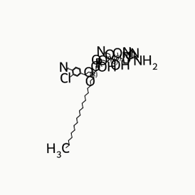 CCCCCCCCCCCCCCCCCCOC[C@H](COP(=O)(O)OC[C@@H](OC#N)[C@@H](O)[C@@H](O)c1ccc2c(N)ncnn12)OCc1ccc(C#N)c(Cl)c1